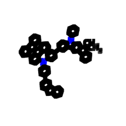 CC1(C)c2ccccc2-c2cc3c4cc(-c5ccc(N(c6ccc(-c7ccc8c(c7)-c7ccccc7C8)cc6)c6cccc7c6-c6ccccc6C76c7ccccc7-c7ccccc76)cc5)ccc4n(-c4ccccc4)c3cc21